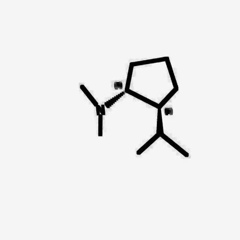 CC(C)[C@@H]1CCC[C@H]1N(C)C